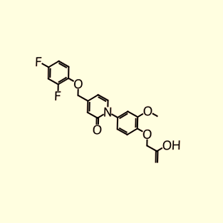 C=C(O)COc1ccc(-n2ccc(COc3ccc(F)cc3F)cc2=O)cc1OC